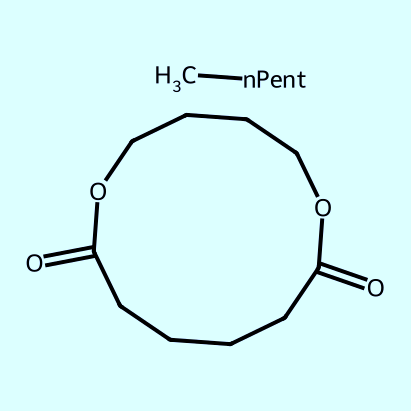 CCCCCC.O=C1CCCCC(=O)OCCCCO1